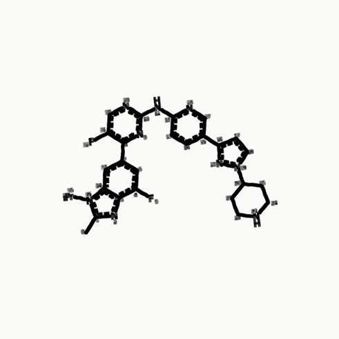 Cc1nc2c(F)cc(-c3nc(Nc4ccc(-c5ccn(C6CCNCC6)n5)cn4)ncc3F)cc2n1C(C)C